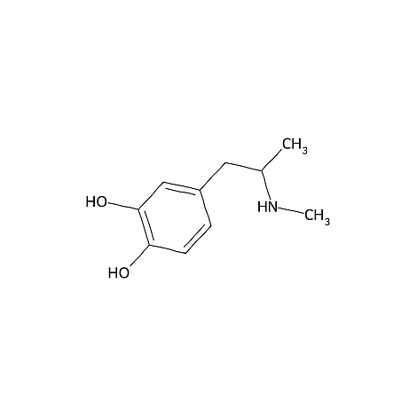 CNC(C)Cc1ccc(O)c(O)c1